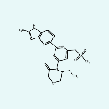 CCC1COCC(=O)N1c1cc(CS(C)(=O)=O)nc(-c2ccc3[nH]c(C)cc3n2)n1